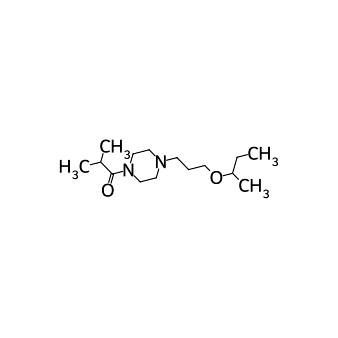 CCC(C)OCCCN1CCN(C(=O)C(C)C)CC1